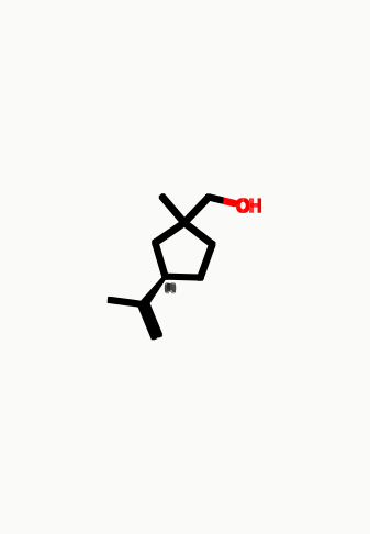 C=C(C)[C@@H]1CCC(C)(CO)C1